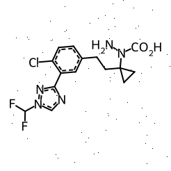 NN(C(=O)O)C1(CCc2ccc(Cl)c(-c3ncn(C(F)F)n3)c2)CC1